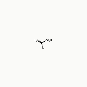 C=C(C(C)=O)C(=O)O